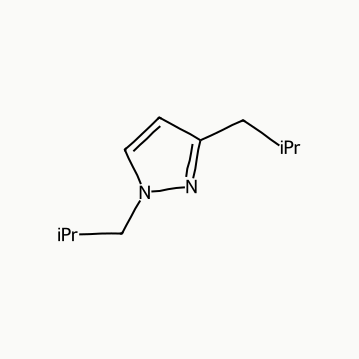 CC(C)Cc1ccn(CC(C)C)n1